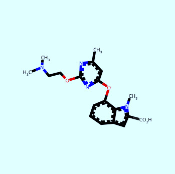 Cc1cc(Oc2cccc3cc(C(=O)O)n(C)c23)nc(OCCN(C)C)n1